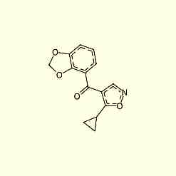 O=C(c1cnoc1C1CC1)c1cccc2c1OCO2